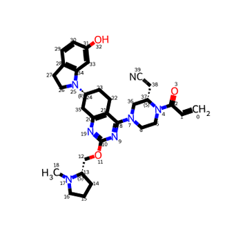 C=CC(=O)N1CCN(c2nc(OC[C@@H]3CCCN3C)nc3c2CC[C@@H](N2CCc4ccc(O)cc42)C3)C[C@@H]1CC#N